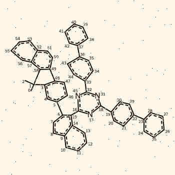 CC1(C)c2cc(-c3ccc4ccccc4c3-c3nc(-c4ccc(-c5ccccc5)cc4)nc(-c4ccc(-c5ccccc5)cc4)n3)ccc2-c2ccc3ccccc3c21